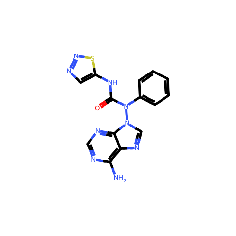 Nc1ncnc2c1ncn2N(C(=O)Nc1cnns1)c1ccccc1